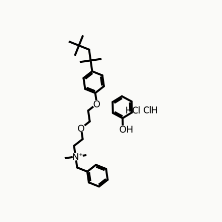 CC(C)(C)CC(C)(C)c1ccc(OCCOCC[N+](C)(C)Cc2ccccc2)cc1.Cl.Cl.Oc1ccccc1